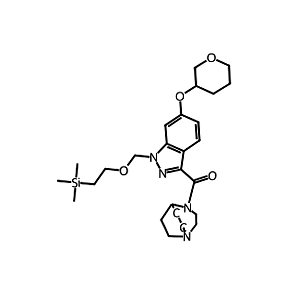 C[Si](C)(C)CCOCn1nc(C(=O)N2CCN3CCC2CC3)c2ccc(OC3CCCOC3)cc21